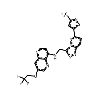 Cc1cc(-c2ccc3nnc(CNc4ccnc5cc(OCC(F)(F)F)cnc45)n3n2)sn1